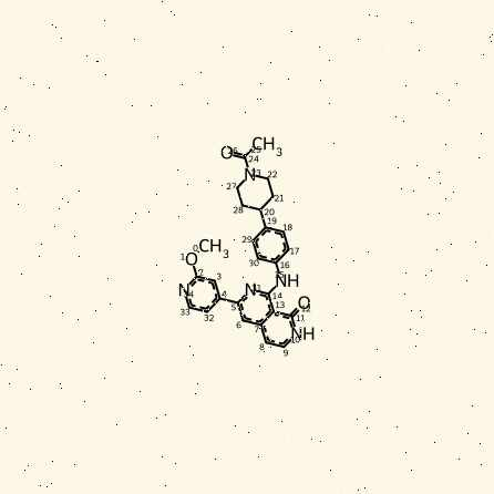 COc1cc(-c2cc3cc[nH]c(=O)c3c(Nc3ccc(C4CCN(C(C)=O)CC4)cc3)n2)ccn1